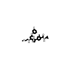 COCCNc1cc(Oc2cccc(F)c2)nn2c(-c3ccc(C(=O)NC4CC4)c(C)c3)cnc12